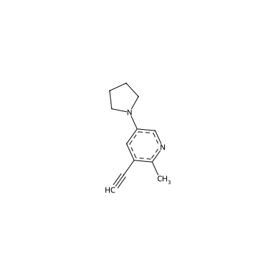 C#Cc1cc(N2CCCC2)cnc1C